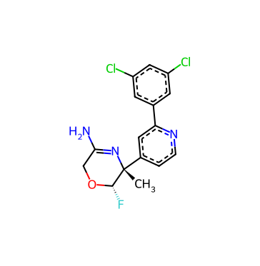 C[C@]1(c2ccnc(-c3cc(Cl)cc(Cl)c3)c2)N=C(N)CO[C@H]1F